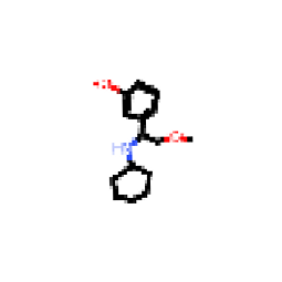 COCC(NC1CCCCC1)c1cccc(O)c1